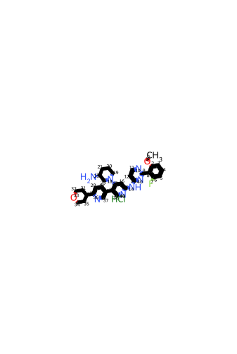 COc1cccc(F)c1-c1nccc(Nc2cc(N3CCC[C@H](N)C3)c(-c3ccc(C4CCOCC4)nc3)cn2)n1.Cl